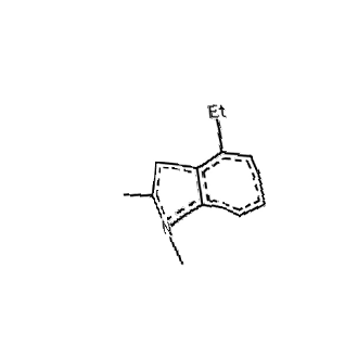 CCc1cccc2c1cc(C)n2C